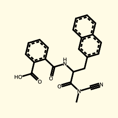 CN(C#N)C(=O)C(Cc1ccc2ccccc2c1)NC(=O)c1ccccc1C(=O)O